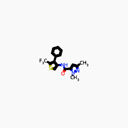 Cc1cc(C(=O)Nc2csc(C(F)(F)F)c2-c2ccccc2)n(C)n1